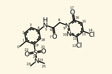 Cc1ccc(NC(=O)Cn2nc(Cl)c(Cl)cc2=O)cc1S(=O)(=O)N(C)C